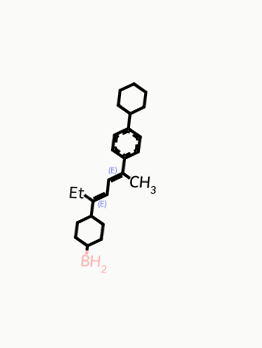 BC1CCC(/C(=C/C=C(\C)c2ccc(C3CCCCC3)cc2)CC)CC1